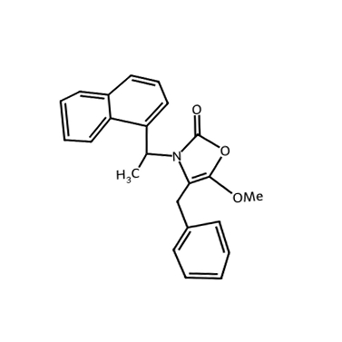 COc1oc(=O)n(C(C)c2cccc3ccccc23)c1Cc1ccccc1